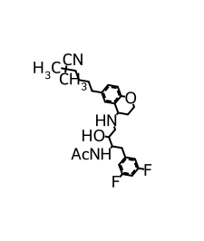 CC(=O)NC(Cc1cc(F)cc(F)c1)C(O)CNC1CCOc2ccc(CCCCC(C)(C)C#N)cc21